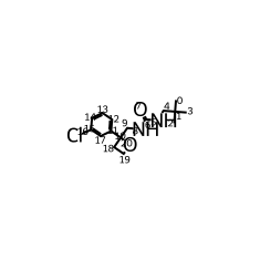 CC(C)(C)CNC(=O)NCC1(c2cccc(Cl)c2)CCO1